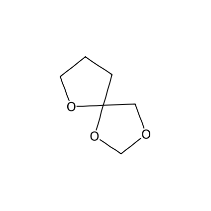 C1COC2(C1)COCO2